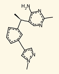 Cc1ncc([C@H](C)c2cccc(-c3cnn(C)c3)c2)c(N)n1